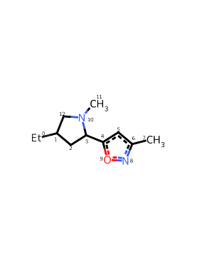 CCC1CC(c2cc(C)no2)N(C)C1